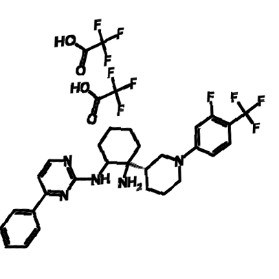 NC1([C@H]2CCCN(c3ccc(C(F)(F)F)c(F)c3)C2)CCCCC1Nc1nccc(-c2ccccc2)n1.O=C(O)C(F)(F)F.O=C(O)C(F)(F)F